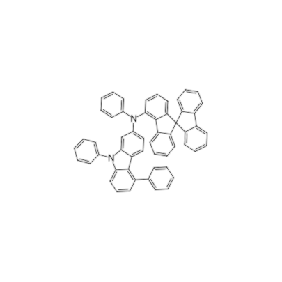 c1ccc(-c2cccc3c2c2ccc(N(c4ccccc4)c4cccc5c4-c4ccccc4C54c5ccccc5-c5ccccc54)cc2n3-c2ccccc2)cc1